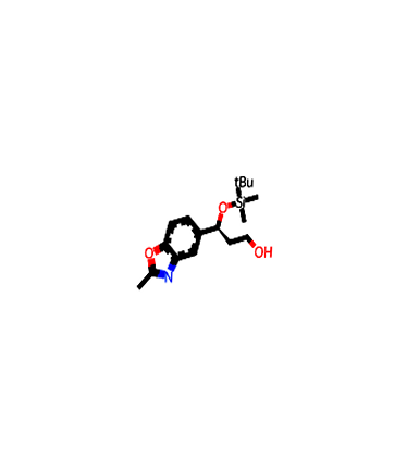 Cc1nc2cc([C@H](CCO)O[Si](C)(C)C(C)(C)C)ccc2o1